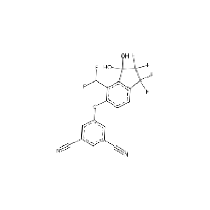 N#Cc1cc(C#N)cc(Oc2ccc3c(c2C(F)F)C(O)(O)C(F)(F)C3(F)F)c1